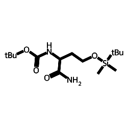 CC(C)(C)OC(=O)NC(CCO[Si](C)(C)C(C)(C)C)C(N)=O